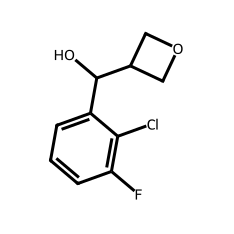 OC(c1cccc(F)c1Cl)C1COC1